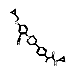 CC(C(=O)NC1CC1)c1ccc(C2CCN(c3ccc(OCC4CC4)cc3C#N)CC2)cc1